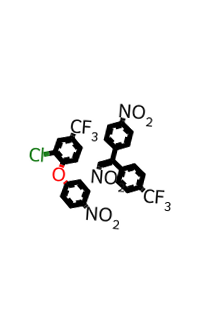 O=[N+]([O-])C=C(c1ccc([N+](=O)[O-])cc1)c1ccc(C(F)(F)F)cc1.O=[N+]([O-])c1ccc(Oc2ccc(C(F)(F)F)cc2Cl)cc1